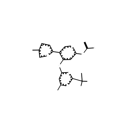 Cc1cc(Nc2cc(NC(N)=O)ncc2-c2ccc(F)cn2)nc(C(C)(F)F)n1